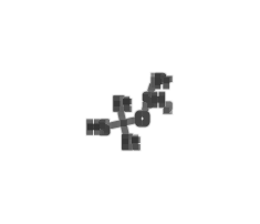 CCC(S)(CC)O[SH2]C(C)C